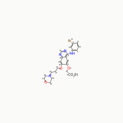 CCOC(=O)COc1cc2c(Nc3cccc(Br)c3)ncnc2cc1OCCCN1CCOCC1